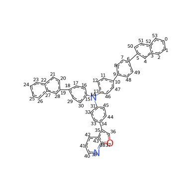 c1ccc2cc(-c3ccc(-c4ccc(N(c5ccc(-c6ccc7ccccc7c6)cc5)c5ccc(-c6coc7ncccc67)cc5)cc4)cc3)ccc2c1